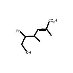 CC(=CC(C)C(CO)C(C)C)C(=O)O